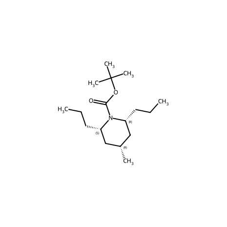 CCC[C@@H]1C[C@H](C)C[C@H](CCC)N1C(=O)OC(C)(C)C